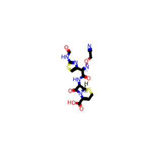 N#CCO/N=C(/C(=O)NC1C(=O)N2C(C(=O)O)=CCS[C@H]12)c1csc(NC=O)n1